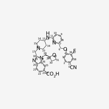 N#Cc1ccc(OCc2cccc(NC3CCN(Cc4nc5ccc(C(=O)O)cc5n4C[C@@H]4CCO4)CC3)n2)c(F)c1